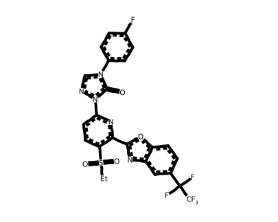 CCS(=O)(=O)c1ccc(-n2ncn(-c3ccc(F)cc3)c2=O)nc1-c1nc2cc(C(F)(F)C(F)(F)F)ccc2o1